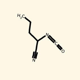 CCCC(C#N)N=C=O